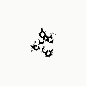 Nc1ncnc2c1c1cc(Br)ccc1n2CC(=O)N1[C@@H]2C[C@@H]2C[C@H]1C(=O)Nc1cccc(Br)n1